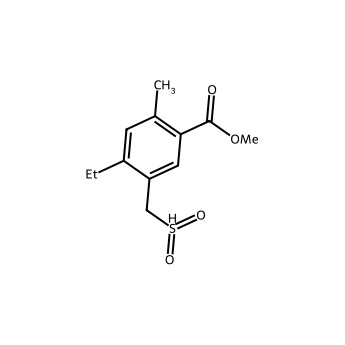 CCc1cc(C)c(C(=O)OC)cc1C[SH](=O)=O